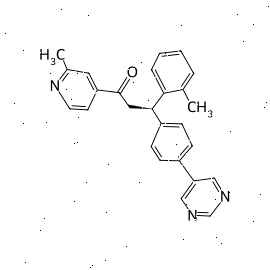 Cc1cc(C(=O)C[C@H](c2ccc(-c3cncnc3)cc2)c2ccccc2C)ccn1